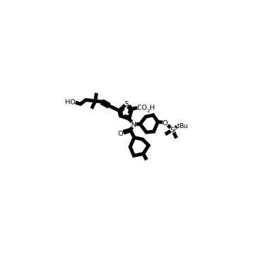 CC1CCC(C(=O)N(c2cc(C#CC(C)(C)CCO)sc2C(=O)O)C2CCC(O[Si](C)(C)C(C)(C)C)CC2)CC1